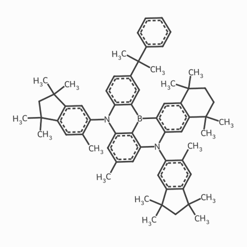 Cc1cc2c3c(c1)N(c1cc4c(cc1C)C(C)(C)CC4(C)C)c1cc4c(cc1B3c1cc(C(C)(C)c3ccccc3)ccc1N2c1cc2c(cc1C)C(C)(C)CC2(C)C)C(C)(C)CCC4(C)C